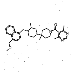 COCc1ccc(CN2CCN(C3(C)CCN(C(=O)c4c(C)ncnc4C)CC3)C[C@@H]2C)c2ccccc12